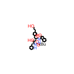 CC(C)(C)OC(=O)N[C@@H](Cc1ccccc1)[C@@H](O)C[C@@H](Cc1ccc(CCCO)cc1)C(=O)N[C@H]1c2ccccc2C[C@H]1O